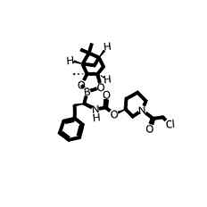 CC1(C)[C@@H]2C[C@H]3OB([C@H](Cc4ccccc4)NC(=O)O[C@H]4CCCN(C(=O)CCl)C4)O[C@@]3(C)[C@H]1C2